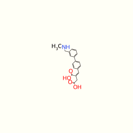 CNCc1cccc(-c2ccc(C=C(CC(=O)O)C(=O)O)cc2)c1